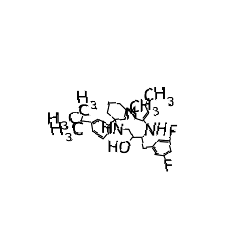 CC/C=C(\C=N/C)NC(Cc1cc(F)cc(F)c1)C(O)CNC1(c2cccc(C(C)(C)C)c2)CCCCC1